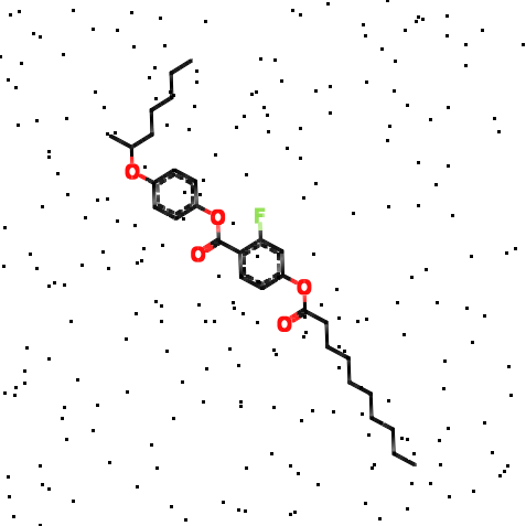 CCCCCCCCCC(=O)Oc1ccc(C(=O)Oc2ccc(OC(C)CCCCC)cc2)c(F)c1